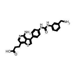 NCc1cccc(NC(=O)Nc2ccc(-c3csc4c(CCC(=O)O)cnc(N)c34)cc2)c1